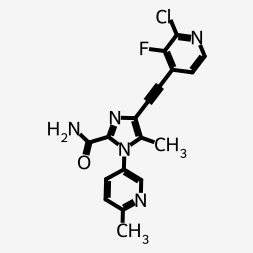 Cc1ccc(-n2c(C(N)=O)nc(C#Cc3ccnc(Cl)c3F)c2C)cn1